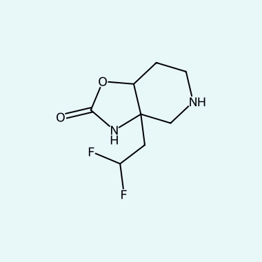 O=C1NC2(CC(F)F)CNCCC2O1